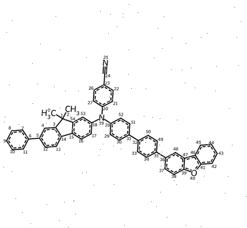 CC1(C)c2cc(-c3ccccc3)ccc2-c2ccc(N(c3ccc(C#N)cc3)c3ccc(-c4ccc(-c5ccc6oc7ccccc7c6c5)cc4)cc3)cc21